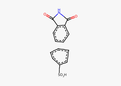 O=C1NC(=O)c2ccccc21.O=S(=O)(O)c1ccccc1